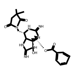 CC1(C)CC(=O)N(C[C@@H]2NC(=N)N3C[C@H](OC(=O)c4ccccc4)[C@H](O)[C@@]34NC(=N)NC24)C1=O